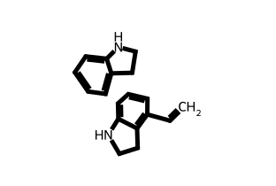 C=Cc1cccc2c1CCN2.c1ccc2c(c1)CCN2